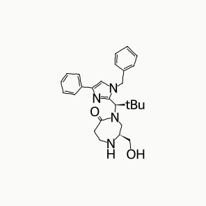 CC(C)(C)[C@H](c1nc(-c2ccccc2)cn1Cc1ccccc1)N1C[C@@H](CO)NCCC1=O